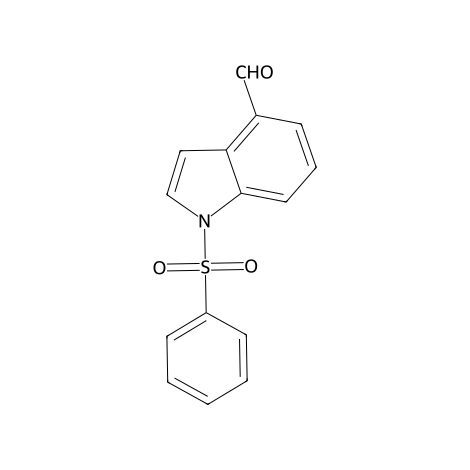 O=Cc1cccc2c1ccn2S(=O)(=O)c1ccccc1